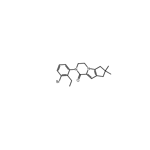 CCc1c(Br)cccc1N1CCn2c(cc3c2CC(C)(C)C3)C1=O